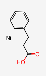 O=C(O)CCc1ccccc1.[Ni]